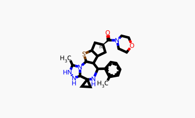 Cc1ccccc1C1NC2(CC2)C2NNC(C)N2C2SC3C[C@@H](C(=O)N4CCOCC4)CC3C12